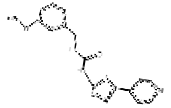 CCCOc1cccc(CNC(=O)Nc2nc(-c3ccncc3)cs2)c1